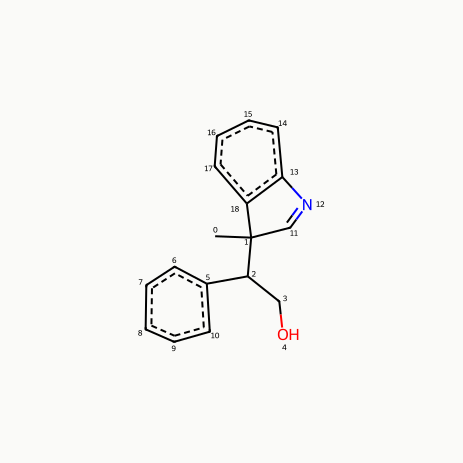 CC1(C(CO)c2ccccc2)C=Nc2ccccc21